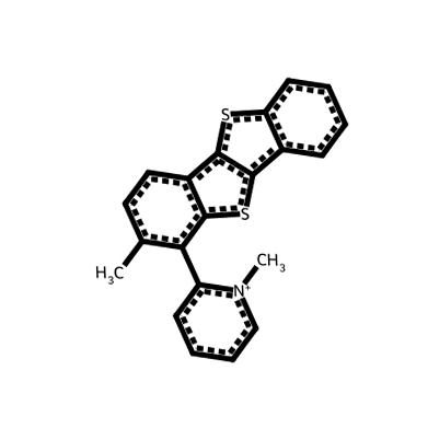 Cc1ccc2c(sc3c4ccccc4sc23)c1-c1cccc[n+]1C